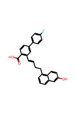 O=C(O)c1ccc(-c2ccc(F)cc2)cc1/C=C/CCc1cccc2cc(O)ccc12